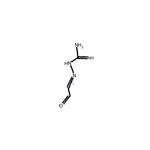 N=C(N)N/N=C/C=O